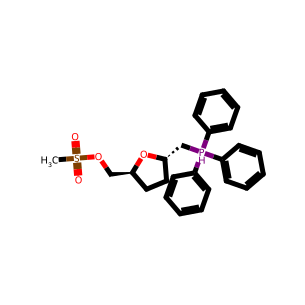 CS(=O)(=O)OC[C@@H]1CC[C@@H](C[PH](c2ccccc2)(c2ccccc2)c2ccccc2)O1